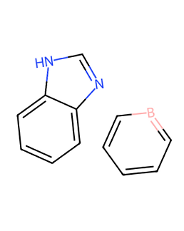 b1ccccc1.c1ccc2[nH]cnc2c1